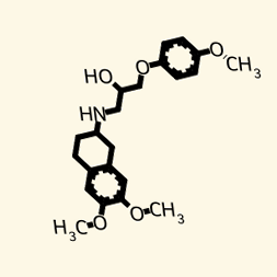 COc1ccc(OCC(O)CNC2CCc3cc(OC)c(OC)cc3C2)cc1